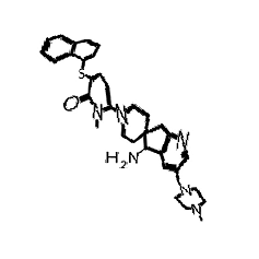 CN1CCN(c2cnc3c(c2)[C@@H](N)C2(CCN(c4ccc(Sc5cccc6ccccc56)c(=O)n4C)CC2)C3)CC1